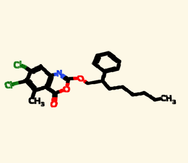 CCCCCCC(COc1nc2cc(Cl)c(Cl)c(C)c2c(=O)o1)c1ccccc1